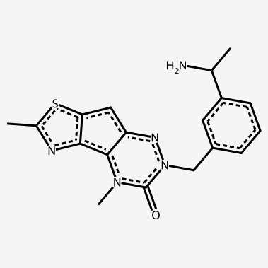 Cc1nc2c3n(C)c(=O)n(Cc4cccc(C(C)N)c4)nc-3cc2s1